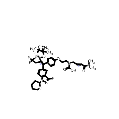 CN(C)C(=O)/C=C/CN(CCOc1ccc(/C(=C(/CC(F)(F)F)B2OC(C)(C)C(C)(C)O2)c2ccc3c(c2)c(F)nn3C2CCCCO2)cc1)C(=O)O